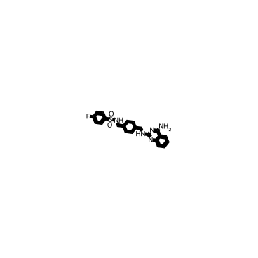 Nc1nc(NCC2CCC(CNS(=O)(=O)c3ccc(F)cc3)CC2)nc2ccccc12